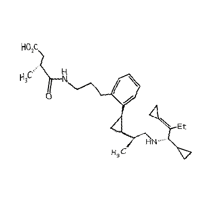 CCC(=C1CC1)[C@@H](NC[C@@H](C)C1C[C@H]1c1ccccc1CCCNC(=O)[C@H](C)CC(=O)O)C1CC1